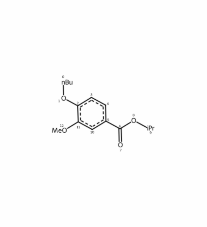 CCCCOc1ccc(C(=O)OC(C)C)cc1OC